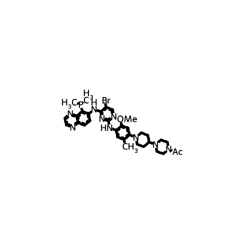 COc1cc(N2CCC(N3CCN(C(C)=O)CC3)CC2)c(C)cc1Nc1ncc(Br)c(Nc2ccc3nccnc3c2P(C)C)n1